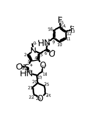 Cn1cc2c(c1C(=O)Nc1ccc(F)c(F)c1)OCC(C1CCOCC1)N[S+]2[O-]